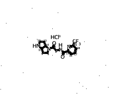 Cl.O=C(NCC(=O)N1CCC2NCCC21)c1cccc(C(F)(F)F)n1